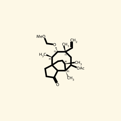 C=C[C@]1(C)CC(OC(C)=O)[C@@]2(C)C3C(=O)CCC3(CC[C@H]2C)[C@@H](C)[C@@H]1OCOC